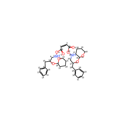 O=C(/C=C\C(=O)ONCC(Cc1ccccc1)OC1CCCCO1)ONCC(Cc1ccccc1)OC1CCCCO1